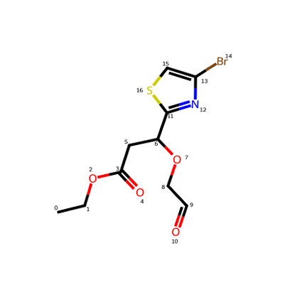 CCOC(=O)CC(OCC=O)c1nc(Br)cs1